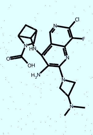 CN(C)C1CN(c2nc3c(F)c(Cl)ncc3c(NC3C4CC3N(C(=O)O)C4)c2N)C1